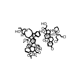 CC[C@]1(O)C[C@H]2C[N@](CCc3c([nH]c4ccccc34)[C@@](C(=O)OC)(c3cc4c(cc3OC)N(C=O)[C@H]3[C@@](O)(C(=O)OC)[C@H](OC(C)=O)[C@]5(CC)C=CCN6CC[C@]43[C@@H]65)C2)C1.C[C@]12C=CC(=O)C=C1CC[C@@H]1[C@@H]2C(=O)C[C@@]2(C)[C@H]1CC[C@]2(O)C(=O)CO.O=P1(N(CCCl)CCCl)NCCCO1